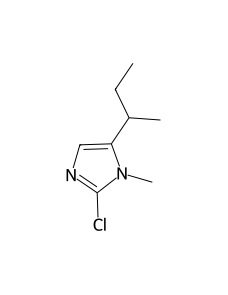 CCC(C)c1cnc(Cl)n1C